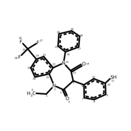 CCN1C(=O)C(c2cccc(S)c2)C(=O)N(c2ccccc2)c2cc(C(F)(F)F)ccc21